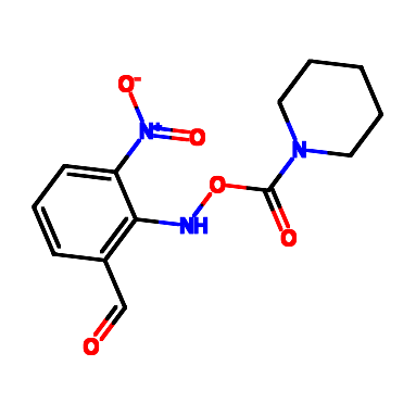 O=Cc1cccc([N+](=O)[O-])c1NOC(=O)N1CCCCC1